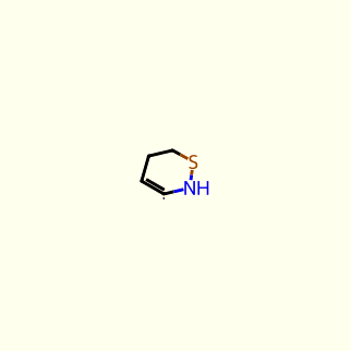 [C]1=CCCSN1